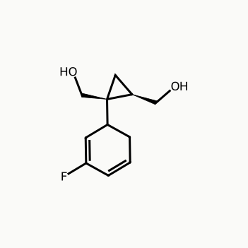 OC[C@@H]1C[C@@]1(CO)C1C=C(F)C=CC1